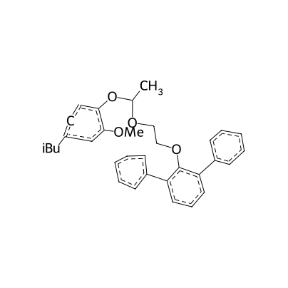 CCC(C)c1ccc(OC(C)OCCOc2c(-c3ccccc3)cccc2-c2ccccc2)c(OC)c1